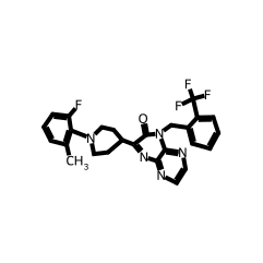 Cc1cccc(F)c1N1CCC(c2nc3nccnc3n(Cc3ccccc3C(F)(F)F)c2=O)CC1